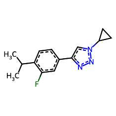 CC(C)c1ccc(-c2cn(C3CC3)nn2)cc1F